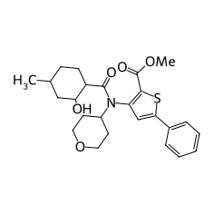 COC(=O)c1sc(-c2ccccc2)cc1N(C(=O)C1CCC(C)CC1O)C1CCOCC1